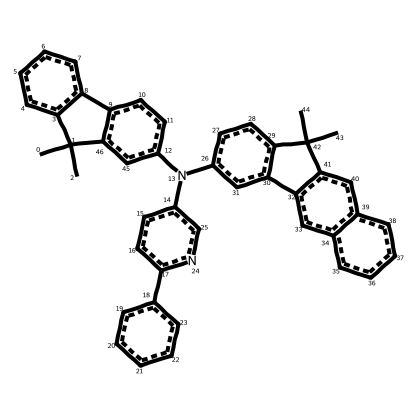 CC1(C)c2ccccc2-c2ccc(N(c3ccc(-c4ccccc4)nc3)c3ccc4c(c3)-c3cc5ccccc5cc3C4(C)C)cc21